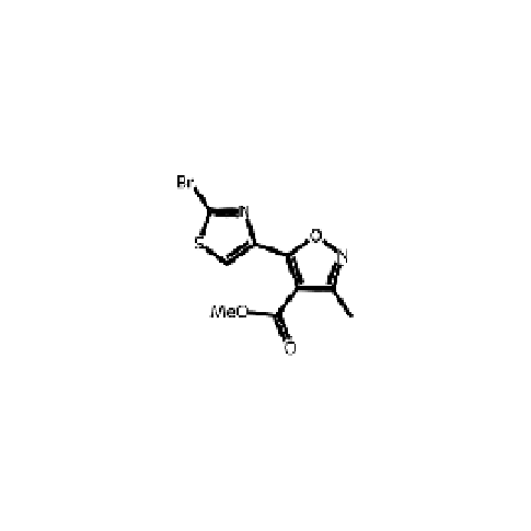 COC(=O)c1c(C)noc1-c1csc(Br)n1